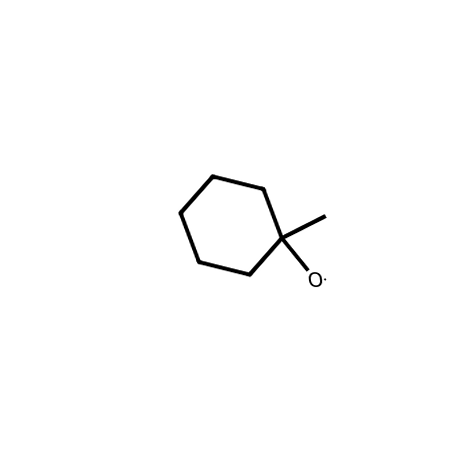 CC1([O])CCCCC1